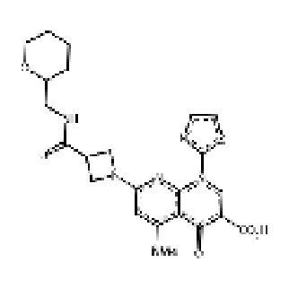 CNc1cc(N2CC(C(=O)NCC3CCCCO3)C2)nc2c1c(=O)c(C(=O)O)cn2-c1nccs1